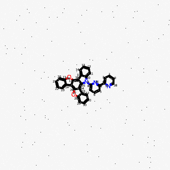 c1ccc(-c2cccc(-n3c4ccccc4c4c5oc6ccccc6c5c5oc6ccccc6c5c43)n2)nc1